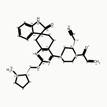 C=CC(=O)N1CCN(c2nc(OC[C@@H]3CCCN3C)nc3c2CCC2(C3)C(=O)Nc3ccccc32)C[C@@H]1CC#N